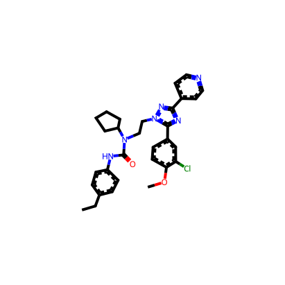 CCc1ccc(NC(=O)N(CCn2nc(-c3ccncc3)nc2-c2ccc(OC)c(Cl)c2)C2CCCC2)cc1